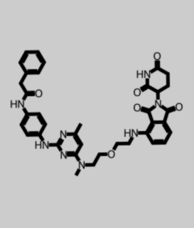 Cc1cc(N(C)CCOCCNc2cccc3c2C(=O)N(C2CCC(=O)NC2=O)C3=O)nc(Nc2ccc(NC(=O)Cc3ccccc3)cc2)n1